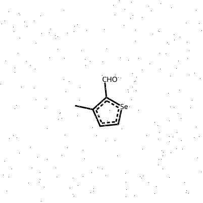 Cc1cc[se]c1C=O